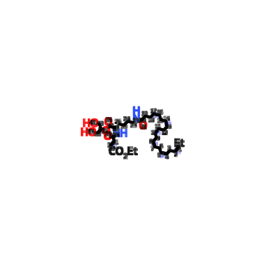 CC/C=C\C/C=C\C/C=C\C/C=C\C/C=C\C/C=C\CCC(=O)NCCCC[C@H](NC(=O)/C=C/C(=O)OCC)C(=O)OC(CO)CO